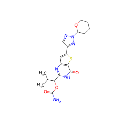 CC(C)C(OC(N)=O)c1nc2cc(-c3cnn(C4CCCCO4)n3)sc2c(=O)[nH]1